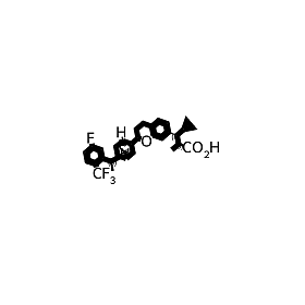 C[C@H](C(=O)O)[C@H](c1ccc2c(c1)OC(C1CC3CC[C@@H]1CN3[C@@H](C)c1cc(F)ccc1C(F)(F)F)CC2)C1CC1